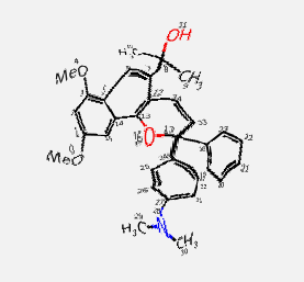 COc1cc(OC)c2cc(C(C)(C)O)c3c(c2c1)OC(c1ccccc1)(c1ccc(N(C)C)cc1)C=C3